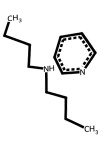 CCCCNCCCC.c1ccncc1